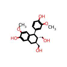 COc1cc([C@@H]2c3cc(OC)c(O)cc3C[C@H](CO)[C@H]2CO)ccc1O